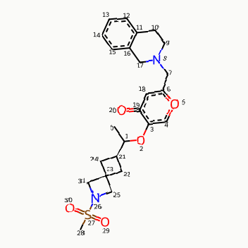 CC(Oc1coc(CN2CCc3ccccc3C2)cc1=O)C1CC2(C1)CN(S(C)(=O)=O)C2